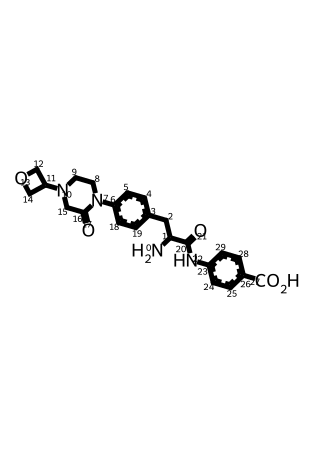 NC(Cc1ccc(N2CCN(C3COC3)CC2=O)cc1)C(=O)Nc1ccc(C(=O)O)cc1